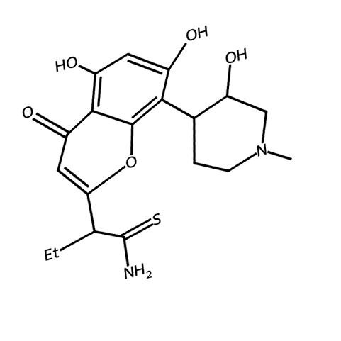 CCC(C(N)=S)c1cc(=O)c2c(O)cc(O)c(C3CCN(C)CC3O)c2o1